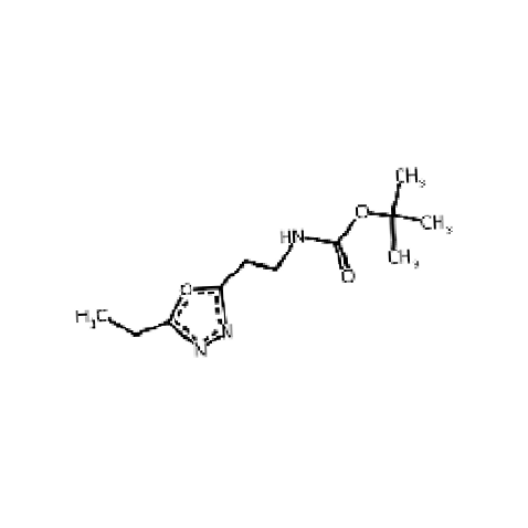 CCc1nnc(CCNC(=O)OC(C)(C)C)o1